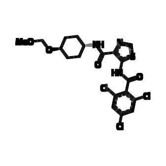 COCO[C@H]1CC[C@H](NC(=O)c2ncsc2NC(=O)c2c(Cl)cc(Cl)cc2Cl)CC1